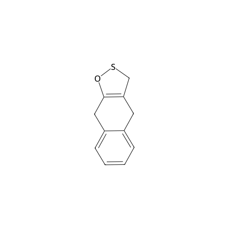 c1ccc2c(c1)CC1=C(C2)OSC1